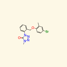 Cc1cc(Br)ccc1OCc1ccccc1-n1nnn(C)c1=O